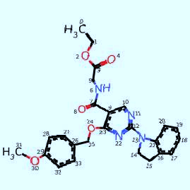 CCOC(=O)CNC(=O)c1cnc(N2CCc3ccccc32)nc1OCc1ccc(OC)cc1